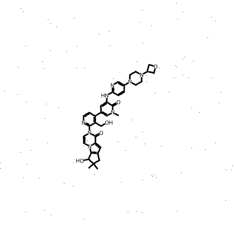 Cn1cc(-c2ccnc(-n3ccn4c5c(cc4c3=O)CC(C)(C)C5O)c2CO)cc(Nc2ccc(N3CCN(C4COC4)CC3)cn2)c1=O